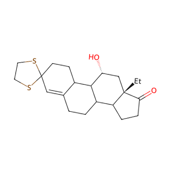 CC[C@]12C[C@@H](O)C3C4CCC5(C=C4CCC3C1CCC2=O)SCCS5